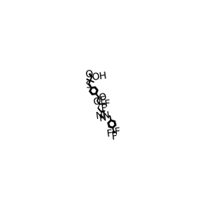 CC(C)(Sc1ccc(C(=O)O[C@H](Cc2cn(Cc3ccc(C(F)(F)F)cc3)nn2)C(F)(F)F)cc1)C(=O)O